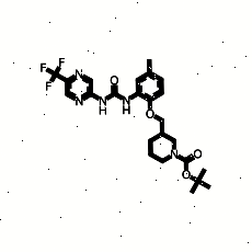 Cc1ccc(OCC2CCCN(C(=O)OC(C)(C)C)C2)c(NC(=O)Nc2cnc(C(F)(F)F)cn2)c1